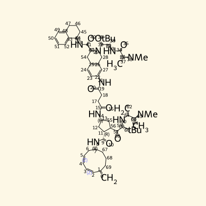 C=C1/C=C\C=C/C[C@H](NC(=O)[C@@H]2C[C@H](NC(=O)CCC(=O)Nc3ccc4c(c3)CN(C(=O)[C@@H](NC(=O)[C@H](C)NC)C(C)(C)C)[C@H](C(=O)N[C@@H]3CCCc5ccccc53)C4)CC2C(=O)[C@@H](NC(=C)[C@H](C)NC)C(C)(C)C)CCC1